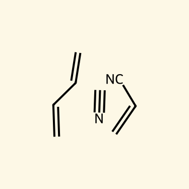 C#N.C=CC#N.C=CC=C